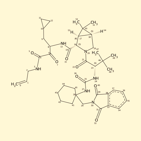 C=CCNC(=O)C(=O)C(CC1CC1)NC(=O)[C@@H]1[C@@H]2[C@H](CN1C(=O)[C@@H](NC(=O)NC1(CN3C(=O)c4ccccc4C3=O)CCCCC1)C(C)(C)C)C2(C)C